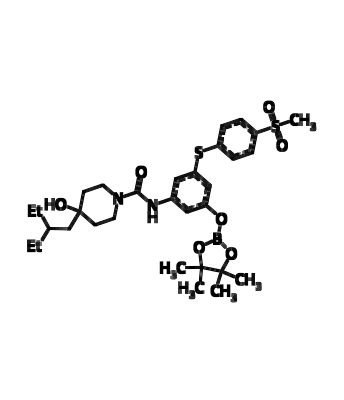 CCC(CC)CC1(O)CCN(C(=O)Nc2cc(OB3OC(C)(C)C(C)(C)O3)cc(Sc3ccc(S(C)(=O)=O)cc3)c2)CC1